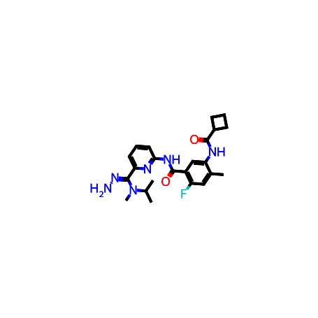 Cc1cc(F)c(C(=O)Nc2cccc(/C(=N/N)N(C)C(C)C)n2)cc1NC(=O)C1CCC1